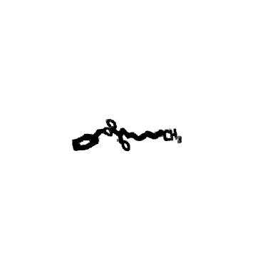 CCCCCCCCC([C]=O)C(=O)OCc1ccccc1